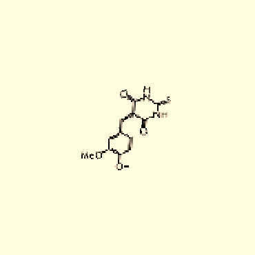 COc1cc(C=C2C(=O)NC(=S)NC2=O)ccc1O